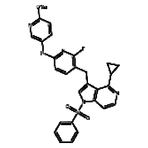 COc1ccc(Nc2ccc(Cc3cn(S(=O)(=O)c4ccccc4)c4ccnc(C5CC5)c34)c(F)n2)cn1